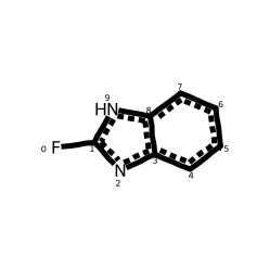 Fc1nc2c[c]ccc2[nH]1